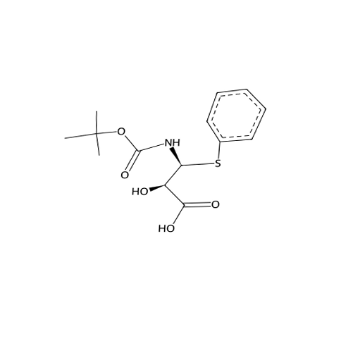 CC(C)(C)OC(=O)N[C@@H](Sc1ccccc1)[C@H](O)C(=O)O